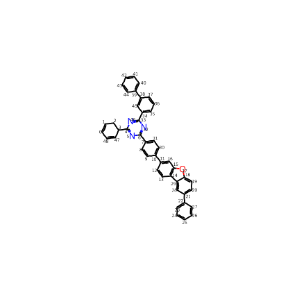 C1=CCC(c2nc(-c3ccc(-c4ccc5c(c4)oc4ccc(-c6ccccc6)cc45)cc3)nc(-c3cccc(-c4ccccc4)c3)n2)C=C1